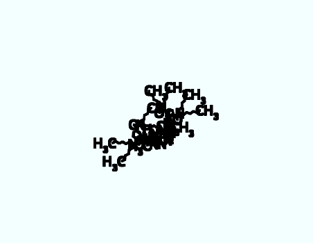 CCCCCCN(CCCCCC)C(=O)c1ccc(C(=O)N(CCCCCC)CCCCCC)c(/N=N/c2c(C)nn(-c3cc(-n4nc(C)c(/N=N/c5cc(C(=O)N(CCCCCC)CCCCCC)ccc5C(=O)N(CCCCCC)CCCCCC)c4N)ncn3)c2N)c1